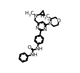 C[C@H]1COCCN1c1cc(CN(C)C2CC2)nc(-c2ccc(NC(=O)Nc3ccccc3)cc2)n1